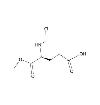 COC(=O)[C@H](CCC(=O)O)NCCl